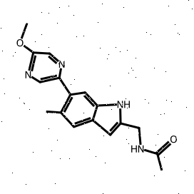 COc1cnc(-c2cc3[nH]c(CNC(C)=O)cc3cc2C)cn1